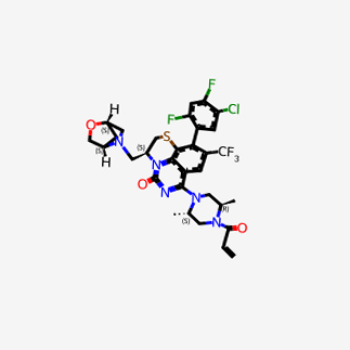 C=CC(=O)N1C[C@H](C)N(c2nc(=O)n3c4c(c(-c5cc(Cl)c(F)cc5F)c(C(F)(F)F)cc24)SC[C@@H]3CN2C[C@@H]3C[C@H]2CO3)C[C@H]1C